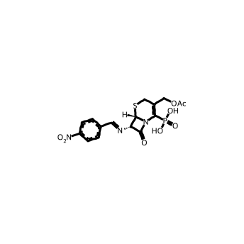 CC(=O)OCC1=C(P(=O)(O)O)N2C(=O)[C@H](N=Cc3ccc([N+](=O)[O-])cc3)[C@@H]2SC1